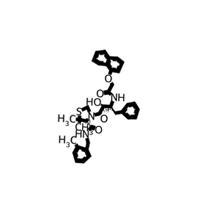 Cc1ccccc1CNC(=O)[C@H]1N(C(=O)[C@@H](O)[C@H](Cc2ccccc2)NC(=O)COc2cccc3ccccc23)CSC1(C)C